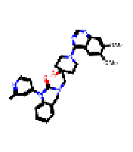 COc1cc2ncnc(N3CCC(O)(CN4Cc5ccccc5N(c5ccnc(C)c5)C4=O)CC3)c2cc1OC